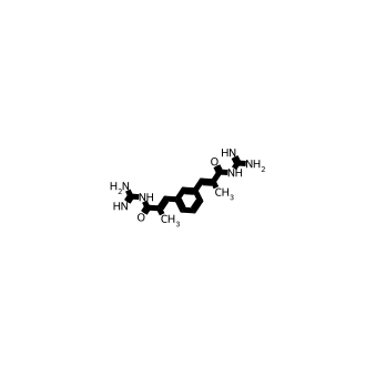 C/C(=C\c1cccc(/C=C(\C)C(=O)NC(=N)N)c1)C(=O)NC(=N)N